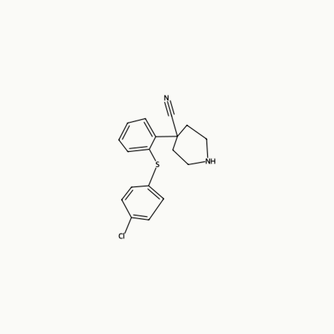 N#CC1(c2ccccc2Sc2ccc(Cl)cc2)CCNCC1